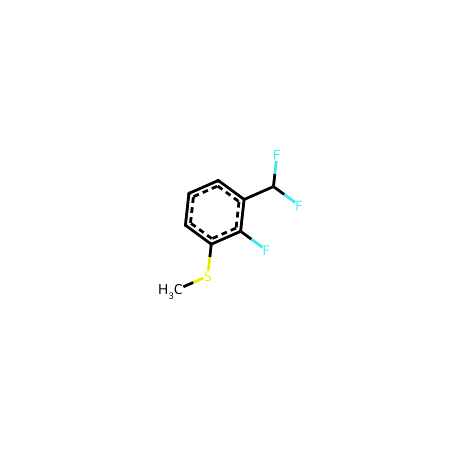 CSc1cccc(C(F)F)c1F